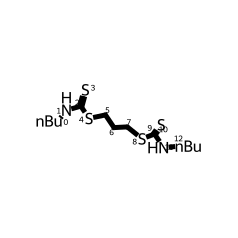 CCCCNC(=S)SCCCSC(=S)NCCCC